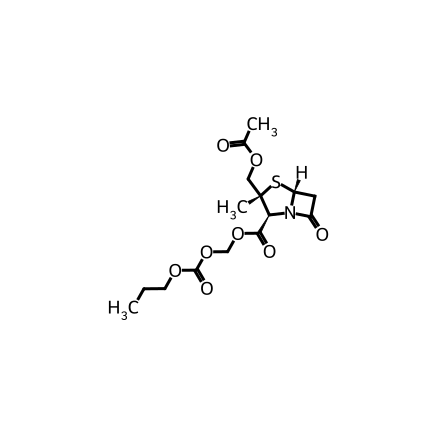 CCCOC(=O)OCOC(=O)[C@@H]1N2C(=O)C[C@H]2S[C@@]1(C)COC(C)=O